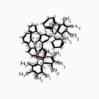 Bc1c(B)c(B)c(S(c2ccccc2)(c2ccccc2)c2cc(-c3ccccc3)c(-n3c4ccccc4c4ccc(-n5c6c(B)c(B)c(B)c(B)c6c6c(B)c(B)c(B)c(B)c65)cc43)c(-c3ccccc3)c2)c(B)c1B